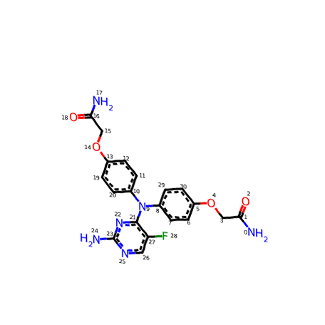 NC(=O)COc1ccc(N(c2ccc(OCC(N)=O)cc2)c2nc(N)ncc2F)cc1